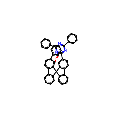 c1ccc(-c2nc(-c3ccccc3)nc(-c3ccc4c(c3)C3(c5ccccc5-4)c4ccccc4-c4ccc5c(oc6ccccc65)c43)n2)cc1